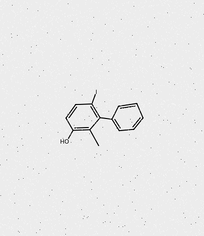 Cc1c(O)ccc(I)c1-c1ccccc1